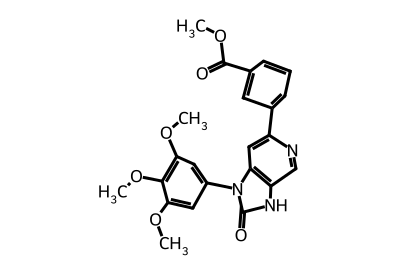 COC(=O)c1cccc(-c2cc3c(cn2)[nH]c(=O)n3-c2cc(OC)c(OC)c(OC)c2)c1